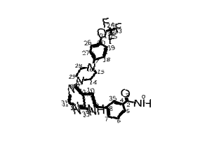 CNC(=O)c1cccc(-c2cc3c(N4CCN(c5ccc(OC(F)(F)F)cc5)CC4)ncnc3[nH]2)c1